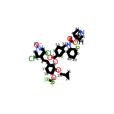 O=C(OC(Cc1c(Cl)c[n+]([O-])cc1Cl)c1ccc(OC(F)F)c(OCC2CC2)c1)c1ccc(CN(C(=O)O[C@H]2CN3CCC2CC3)c2ccccc2F)cc1